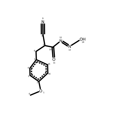 COc1ccc(CC(C#N)C(=O)N=NO)cc1